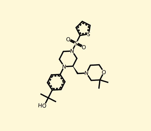 CC1(C)CN(C[C@@H]2CN(S(=O)(=O)c3cccs3)CCN2c2ccc(C(C)(C)O)cc2)CCO1